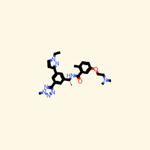 CCn1ccc(-c2cc(-c3nnn(C)n3)cc([C@@H](C)NC(=O)c3cc(OCCN(C)C)ccc3C)c2)n1